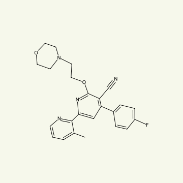 Cc1cccnc1-c1cc(-c2ccc(F)cc2)c(C#N)c(OCCN2CCOCC2)n1